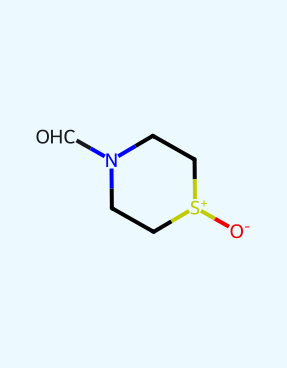 O=CN1CC[S+]([O-])CC1